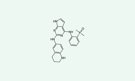 CP(C)(=O)c1ccccc1Nc1nc(Nc2ccc3c(c2)CCCN3)nc2[nH]ccc12